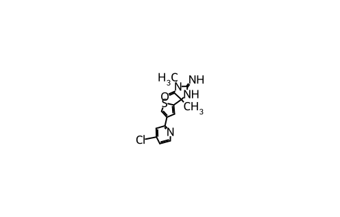 CN1C(=N)NC(C)(c2cc(-c3cc(Cl)ccn3)cs2)C1=O